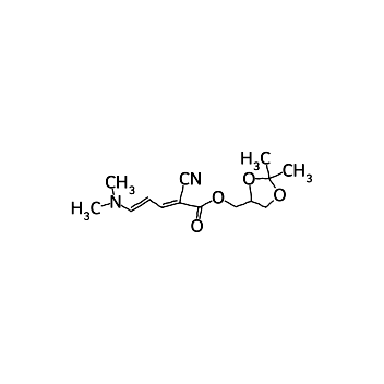 CN(C)/C=C/C=C(\C#N)C(=O)OCC1COC(C)(C)O1